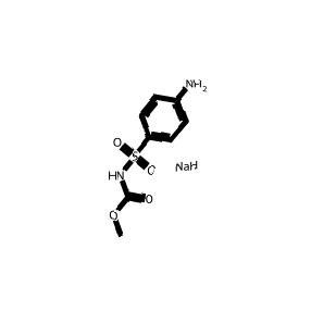 COC(=O)NS(=O)(=O)c1ccc(N)cc1.[NaH]